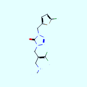 O=C(O)NCC(Cn1nnn(Cc2ccc(Br)s2)c1=O)=C(F)F